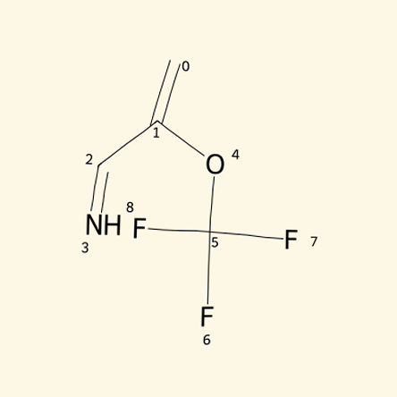 C=C(C=N)OC(F)(F)F